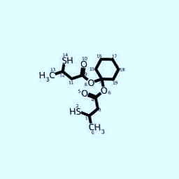 CC(S)CC(=O)OC1(OC(=O)CC(C)S)CCCCC1